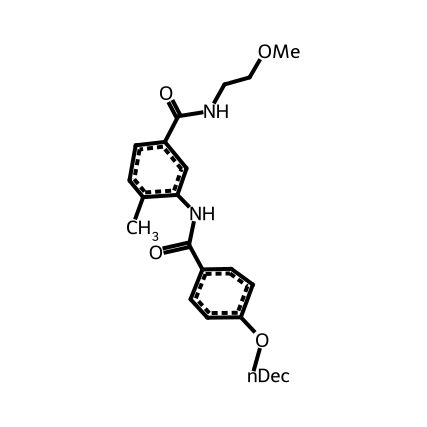 CCCCCCCCCCOc1ccc(C(=O)Nc2cc(C(=O)NCCOC)ccc2C)cc1